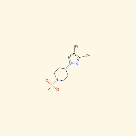 CC(C)c1cn(C2CCN(S(C)(=O)=O)CC2)nc1C(C)C